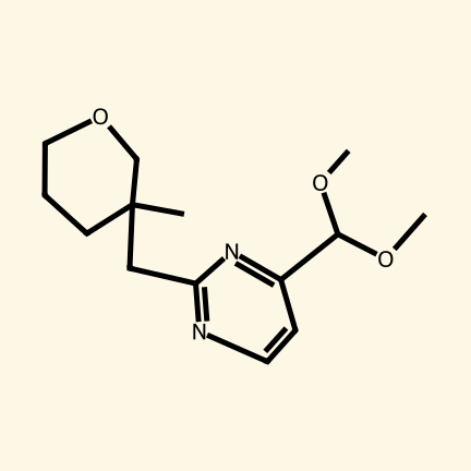 COC(OC)c1ccnc(CC2(C)CCCOC2)n1